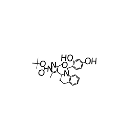 Cc1nn(C(=O)OC(C)(C)C)c(C)c1C1CCc2ccccc2N1C(=O)c1ccc(O)cc1O